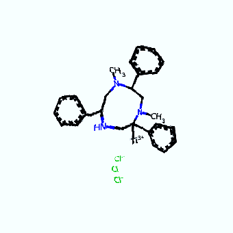 CN1CC(c2ccccc2)NC[C]([Ti+3])(c2ccccc2)N(C)CC1c1ccccc1.[Cl-].[Cl-].[Cl-]